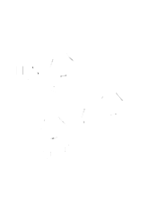 Nc1ccccc1SC(CC(=O)c1ccccc1)c1ccc2c(c1)OCO2